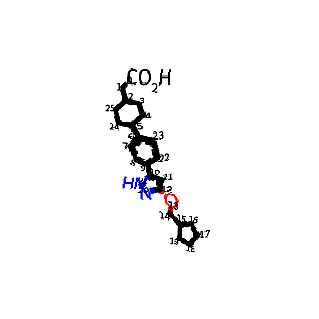 O=C(O)CC1CCC(c2ccc(-c3cc(OCC4CCCC4)n[nH]3)cc2)CC1